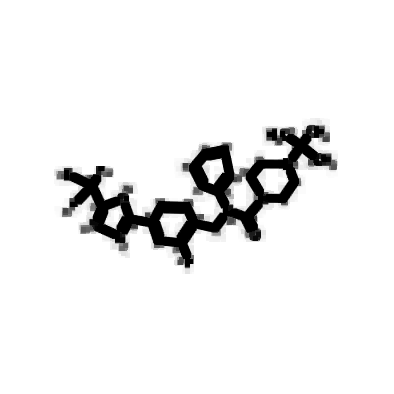 CC(C)(C)N1CCN(C(=O)N(Cc2ccc(-c3nnc(C(F)(F)F)o3)cc2F)c2ccccc2)CC1